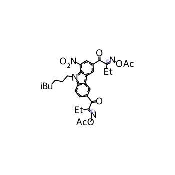 CC/C(=N\OC(C)=O)C(=O)c1ccc2c(c1)c1cc(C(=O)/C(CC)=N/OC(C)=O)cc([N+](=O)[O-])c1n2CCCC(C)CC